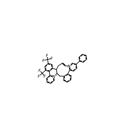 FC(F)(F)c1cc2c(c(C(F)(F)F)c1)-c1cccc[n+]1C1Cc3ccccc3-c3ccc(-c4ccccc4)c[n+]3/C=C/CC21